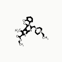 CCOC(=O)c1sc2nc(CN3CCN(CC)CC3)n(-c3ccccc3Cl)c(=O)c2c1C